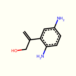 C=C(CO)c1cc(N)ccc1N